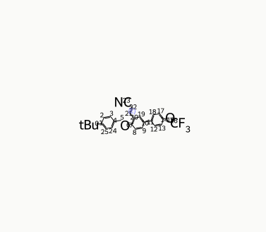 CC(C)(C)c1ccc(COc2ccc(-c3ccc(OC(F)(F)F)cc3)cc2/C=C/C#N)cc1